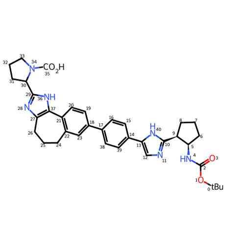 CC(C)(C)OC(=O)N[C@@H]1CCC[C@@H]1c1ncc(-c2ccc(-c3ccc4c(c3)CCCc3nc(C5CCCN5C(=O)O)[nH]c3-4)cc2)[nH]1